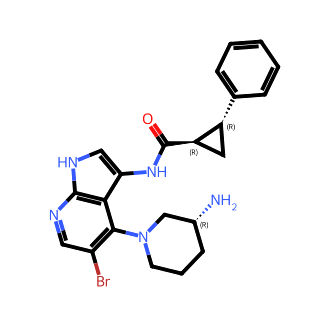 N[C@@H]1CCCN(c2c(Br)cnc3[nH]cc(NC(=O)[C@@H]4C[C@H]4c4ccccc4)c23)C1